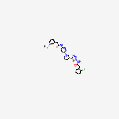 Cc1cccc(CC(=O)Nc2ccc(N3CCCC(c4nnc(NC(=O)Cc5ccccc5Cl)s4)C3)nn2)c1